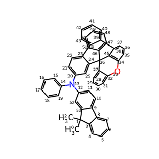 CC1(C)c2ccccc2-c2ccc(N(c3ccccc3)c3ccc4c(c3)C3(c5ccccc5Oc5cccc(-c6ccccc6)c53)c3ccccc3-4)cc21